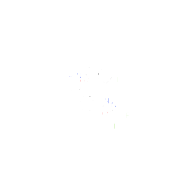 NC(=O)C1(c2ccc(F)cc2)CCC1C1CCCC(CC2Cc3ccc(-c4nnc(C(F)F)o4)cc3C2=O)C1